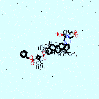 C=C(C)[C@@H]1CC[C@]2(NCC([C@@H](C)O)N3CCS(=O)(=O)CC3)CC[C@]3(C)[C@H](CC[C@@H]4[C@@]5(C)CC[C@H](OC(=O)[C@H]6C[C@@H](C(=O)OCc7ccccc7)C6(C)C)C(C)(C)[C@@H]5CC[C@]43C)[C@@H]12